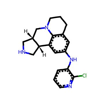 Clc1ncccc1Nc1cc2c3c(c1)[C@@H]1CNC[C@@H]1CN3CCC2